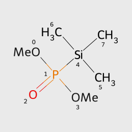 COP(=O)(OC)[Si](C)(C)C